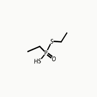 CCSP(=O)(S)CC